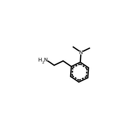 CN(C)c1ccccc1CCN